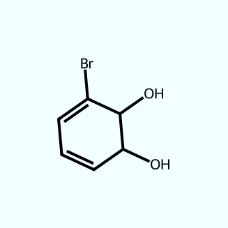 OC1C=CC=C(Br)C1O